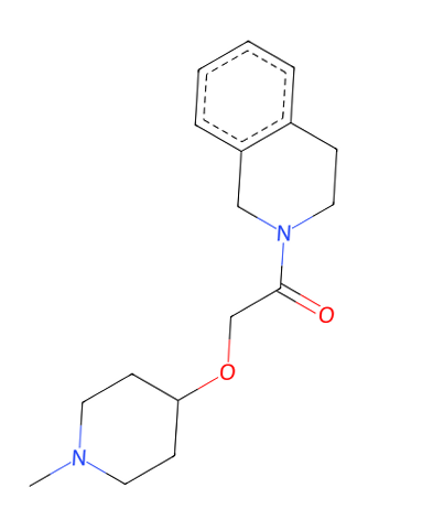 CN1CCC(OCC(=O)N2CCc3ccccc3C2)CC1